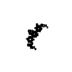 COc1ccc(-c2cc(CO)c(N3CCCC(OC(N)=O)C3)cn2)cc1F